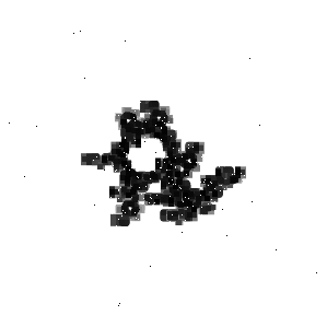 C#CC[C@H](NC(=O)CNC(=O)[C@@H](NC(=O)[C@H](CC(=O)O)NC(=O)[C@H](CSC)NC(=O)[C@H](Cc1ccc(O)cc1)NC(=O)[C@@H]1CSSC[C@H](NC(=O)[C@@H](N)Cc2ccc(O)cc2)C(=O)N[C@@H](CCC(=O)O)C(=O)NCC(=O)N[C@@H](Cc2ccccc2)C(=O)N[C@H](Cc2ccc(O)cc2)C(=O)N[C@@H](C)C(=O)N1)C(C)C)C(=O)O